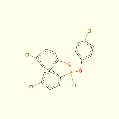 Clc1ccc(O[PH](Cl)(Oc2ccc(Cl)cc2)c2ccc(Cl)cc2)cc1